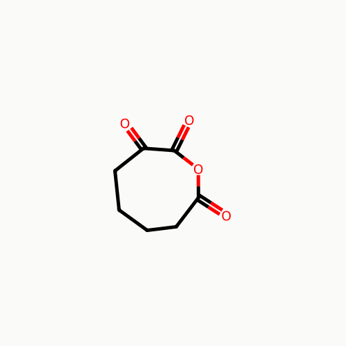 O=C1CCCCC(=O)C(=O)O1